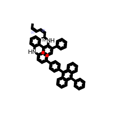 C/C=C\C=C/[C@H](C)Nc1c(-c2ccccc2)cccc1-c1ccccc1Nc1ccc(-c2ccc(-c3c4ccccc4c(-c4ccccc4)c4ccccc34)cc2)cc1